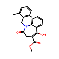 COC(=O)C1=C(O)c2ccccc2N(Cc2c(C)cccc2C)C(=O)C1